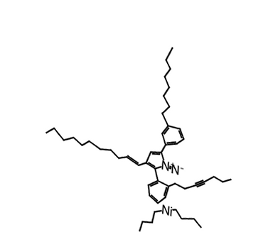 CCCC#CCCc1ccccc1C1=C(C=CCCCCCCCCC)C=C(c2cccc(CCCCCCCC)c2)[N+]1=[N-].CCC[CH2][Ni][CH2]CCC